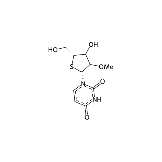 COC1C(O)[C@@H](CO)S[C@H]1n1ccc(=O)[nH]c1=O